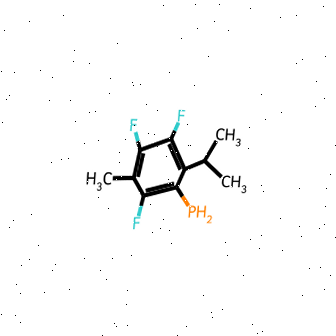 Cc1c(F)c(F)c(C(C)C)c(P)c1F